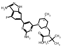 C[C@@H]1C[C@@H](CN(C(=O)O)C(C)(C)C)CN(c2cc(-c3cc(F)c4c(N)n[nH]c4c3)nc(N)n2)C1